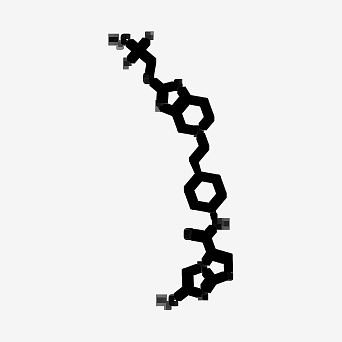 Cc1cn2c(C(=O)N[C@H]3CC[C@H](CCN4CCc5sc(OCC(C)(F)F)nc5C4)CC3)csc2n1